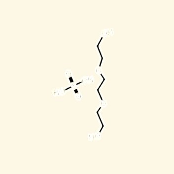 O=S(=O)(O)O.OCCOCCOCCO